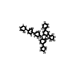 c1ccc(-c2ccc(-c3ccc(N(c4ccc(-c5ccccc5)cc4)c4cc(-c5ccccc5)cc5c4oc4ccccc45)cc3)cc2)cc1